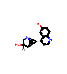 CCC1(O)CN2CCC1C1C2[C@@H]1c1ccnc2ccc(O)cc12